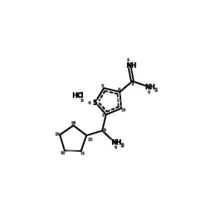 Cl.N=C(N)c1csc(C(N)C2CCCC2)c1